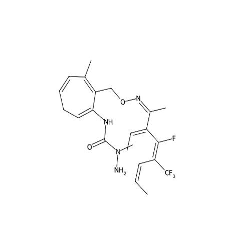 C\C=C/C(=C(F)\C(=C/C)C(C)=NOCC1=C(C)C=CCC=C1NC(=O)N(C)N)C(F)(F)F